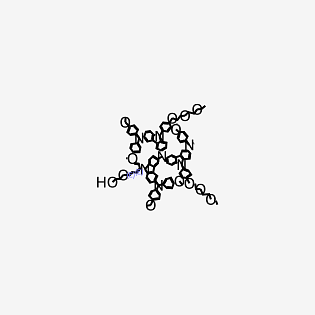 C=C/C(=C\C=C\OCCO)n1c2ccc(N(c3ccc(OC)cc3)c3ccc(OC)cc3)cc2c2cc(N(c3ccc4c(c3)c3cc(N(C)c5ccc(OC)cc5)ccc3n4-c3ccc(OCCOCCOCC)cc3)c3ccc4c(c3)c3cc(N(c5ccc(OC)cc5)c5ccc(OC)cc5)ccc3n4-c3ccc(OCCOCCOCC)cc3)ccc21